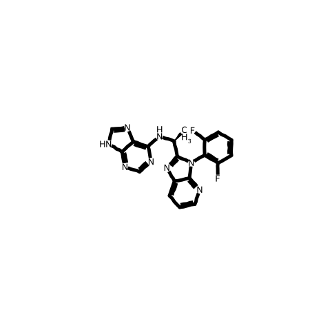 C[C@H](Nc1ncnc2[nH]cnc12)c1nc2cccnc2n1-c1c(F)cccc1F